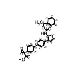 CC(OC(=O)Nc1sccc1-c1ccc(-c2ccc(C3(C(=O)O)CC3)cc2)cc1)c1ccccc1